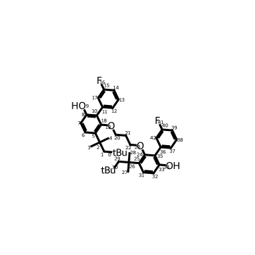 CC(C)(C)CC(C)(C)c1ccc(O)c(-c2cccc(F)c2)c1OCCCOc1c(C(C)(C)CC(C)(C)C)ccc(O)c1-c1cccc(F)c1